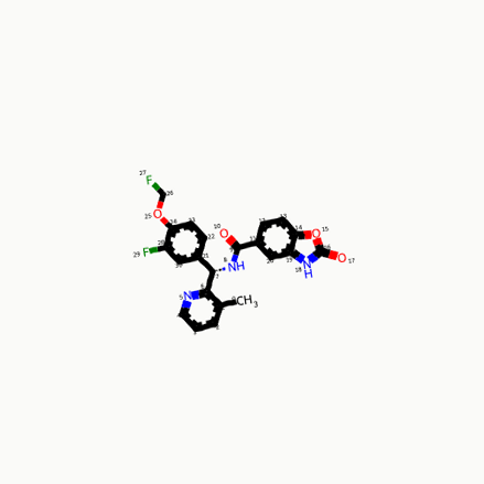 Cc1cccnc1[C@@H](NC(=O)c1ccc2oc(=O)[nH]c2c1)c1ccc(OCF)c(F)c1